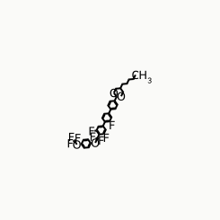 CCCCCC1COC(c2ccc(-c3ccc(-c4cc(F)c(C(F)(F)Oc5ccc(OC(F)(F)F)cc5)c(F)c4)c(F)c3)cc2)OC1